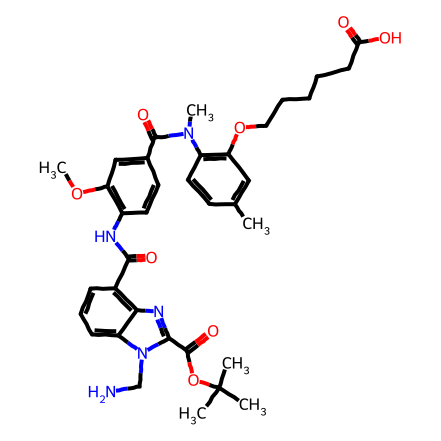 COc1cc(C(=O)N(C)c2ccc(C)cc2OCCCCCC(=O)O)ccc1NC(=O)c1cccc2c1nc(C(=O)OC(C)(C)C)n2CN